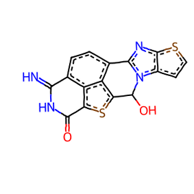 N=C1NC(=O)c2sc3c4c(ccc1c24)-c1nc2sccc2n1C3O